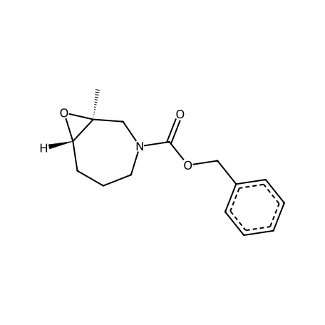 C[C@]12CN(C(=O)OCc3ccccc3)CCC[C@@H]1O2